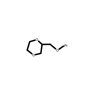 CC(C)OCC1COCCO1